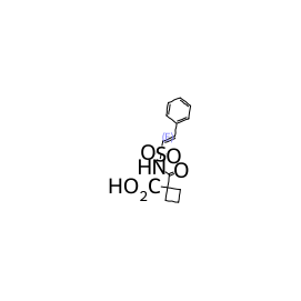 O=C(O)C1(C(=O)NS(=O)(=O)/C=C/c2ccccc2)CCC1